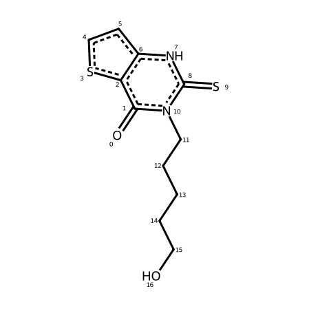 O=c1c2sccc2[nH]c(=S)n1CCCCCO